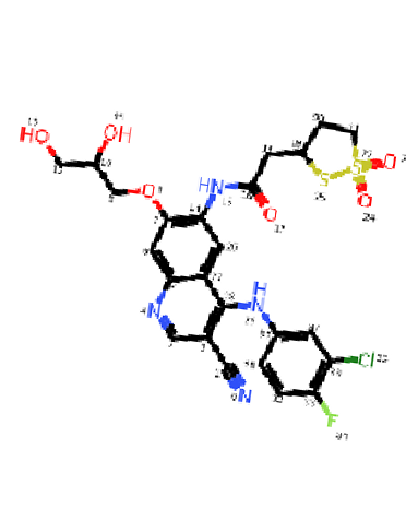 N#Cc1cnc2cc(OCC(O)CO)c(NC(=O)CC3CCS(=O)(=O)S3)cc2c1Nc1ccc(F)c(Cl)c1